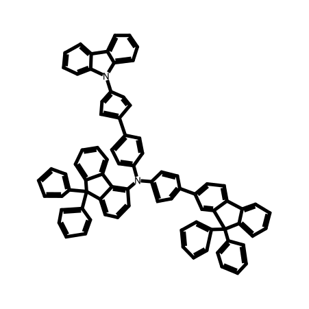 c1ccc(C2(c3ccccc3)c3ccccc3-c3ccc(-c4ccc(N(c5ccc(-c6ccc(-n7c8ccccc8c8ccccc87)cc6)cc5)c5cccc6c5-c5ccccc5C6(c5ccccc5)c5ccccc5)cc4)cc32)cc1